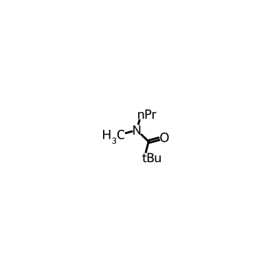 [CH2]CCN(C)C(=O)C(C)(C)C